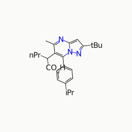 CCCC(C(=O)O)c1c(C)nc2cc(C(C)(C)C)nn2c1-c1ccc(C(C)C)cc1